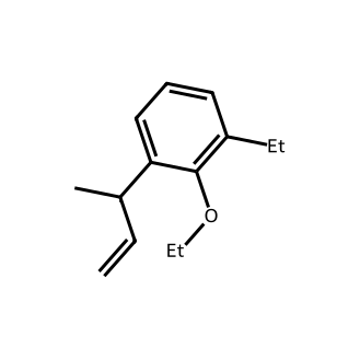 C=C[C](C)c1cccc(CC)c1OCC